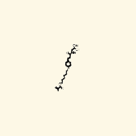 C=C(C)C(=O)OCCCCCCOc1ccc(/C=C/C(=O)NCC(O)O)cc1